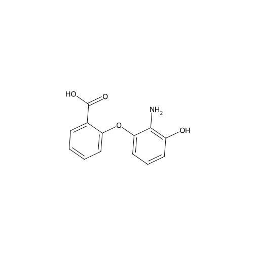 Nc1c(O)cccc1Oc1ccccc1C(=O)O